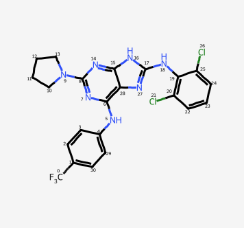 FC(F)(F)c1ccc(Nc2nc(N3CCCC3)nc3[nH]c(Nc4c(Cl)cccc4Cl)nc23)cc1